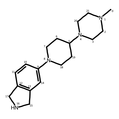 CN1CCN(C2CCN(c3ccc4c(c3)CNC4)CC2)CC1